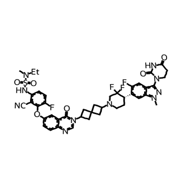 CCN(C)S(=O)(=O)Nc1ccc(F)c(Oc2ccc3ncn(C4CC5(CC(N6CC[C@@H](c7cc8c(cc7F)c(N7CCC(=O)NC7=O)nn8C)C(F)(F)C6)C5)C4)c(=O)c3c2)c1C#N